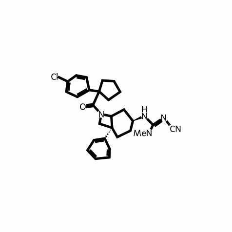 CN/C(=N\C#N)N[C@H]1CC[C@@]2(c3ccccc3)CN(C(=O)C3(c4ccc(Cl)cc4)CCCC3)C2C1